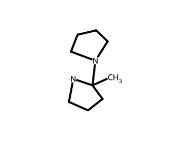 CC1(N2CCCC2)CCC[N]1